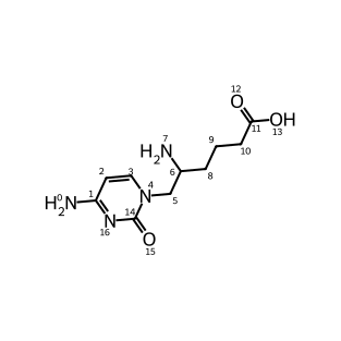 Nc1ccn(CC(N)CCCC(=O)O)c(=O)n1